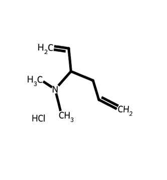 C=CCC(C=C)N(C)C.Cl